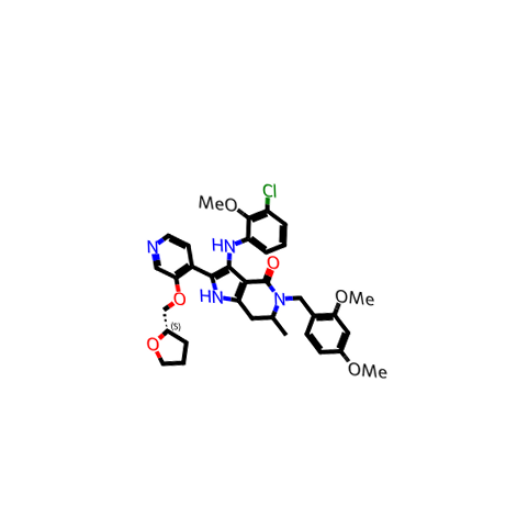 COc1ccc(CN2C(=O)c3c([nH]c(-c4ccncc4OC[C@@H]4CCCO4)c3Nc3cccc(Cl)c3OC)CC2C)c(OC)c1